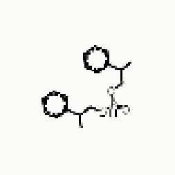 CC(CO[PH](=O)OCC(C)c1ccccc1)c1ccccc1